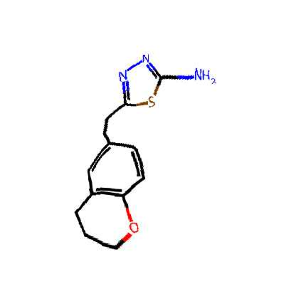 Nc1nnc(Cc2ccc3c(c2)CCCO3)s1